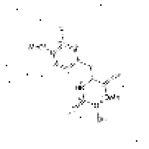 COC(=O)C(Cc1ccc(OC)c(F)c1)NC(=O)OC(C)(C)C